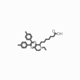 CCN1CCc2nc(-c3ccc(C)cc3)c(-c3ccc(C)cc3)nc2C1CCCCCCC(=O)O